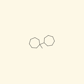 CC1(C2CCCCCC2)CCCCCC1